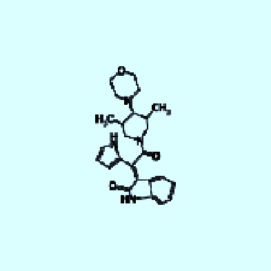 CC1CN(C(=O)C(=C2C(=O)Nc3ccccc32)c2ccc[nH]2)CC(C)C1N1CCOCC1